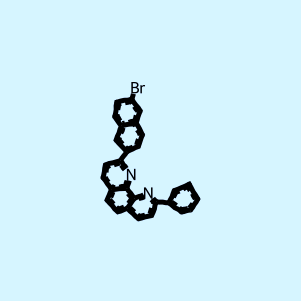 Brc1ccc2cc(-c3ccc4ccc5ccc(-c6ccccc6)nc5c4n3)ccc2c1